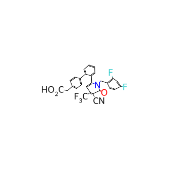 N#Cc1c(C(F)(F)F)cc(-c2ccccc2-c2ccc(CC(=O)O)cc2)n(Cc2ccc(F)cc2F)c1=O